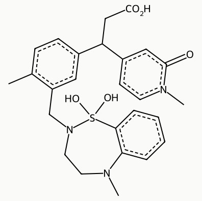 Cc1ccc(C(CC(=O)O)c2ccn(C)c(=O)c2)cc1CN1CCN(C)c2ccccc2S1(O)O